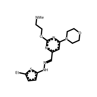 CCc1ccc(N/N=C/c2cc(N3CCOCC3)nc(OCCNC)n2)s1